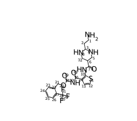 NCCC1NCC(C(=O)Nc2sccc2C(=O)NC(=O)OCc2ccccc2C(F)(F)F)CN1